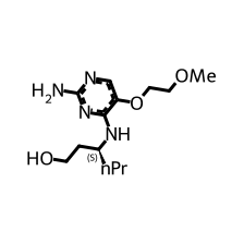 CCC[C@@H](CCO)Nc1nc(N)ncc1OCCOC